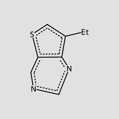 CCc1csc2cncnc12